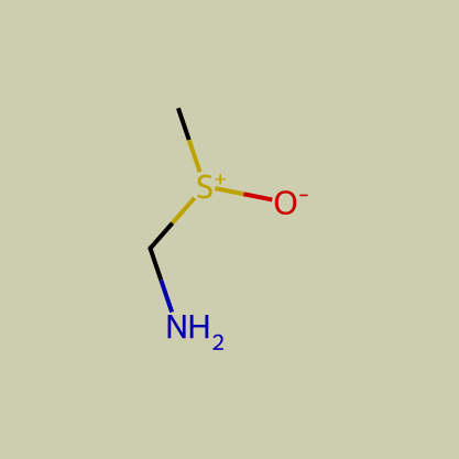 C[S+]([O-])CN